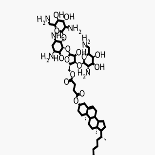 CC(C)CCC[C@@H](C)C1CCC2C3CC=C4CC(OC(=O)CCC(=O)OC[C@H]5O[C@@H](O[C@@H]6C(O)[C@H](N)CC(N)[C@H]6O[C@H]6OC(CN)[C@@H](O)[C@H](O)C6N)C(O)[C@H]5O[C@H]5OC(CN)[C@@H](O)C(O)[C@H]5N)CC[C@]4(C)C3CC[C@@]21C